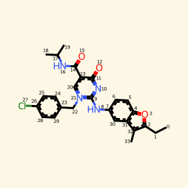 CCc1oc2ccc(Nc3nc(=O)c(C(=O)NC(C)C)cn3Cc3ccc(Cl)cc3)cc2c1C